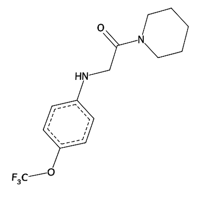 O=C(CNc1ccc(OC(F)(F)F)cc1)N1CCCCC1